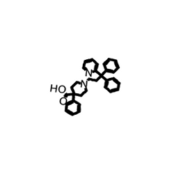 O=C(O)C1(c2ccccc2)CCN(CCC(c2ccccc2)(c2ccccc2)c2ccccn2)CC1